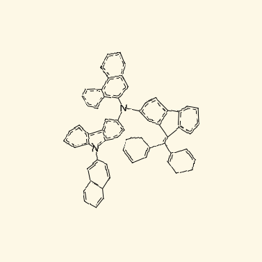 C1=CCCC(/C(C2=CCCC=C2)=C2/c3ccccc3-c3ccc(N(c4ccc5c(c4)c4ccccc4n5C4=CC5C=CC=CC5C=C4)c4cc5ccccc5c5ccccc45)cc32)=C1